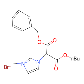 CCCCOC(=O)C(C(=O)OCc1ccccc1)n1cc[n+](C)c1.[Br-]